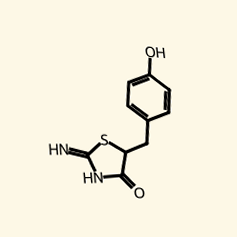 N=C1NC(=O)C(Cc2ccc(O)cc2)S1